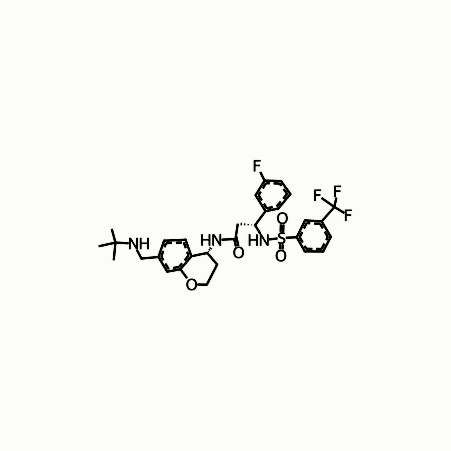 CC(C)(C)NCc1ccc2c(c1)OCC[C@H]2NC(=O)C[C@@H](NS(=O)(=O)c1cccc(C(F)(F)F)c1)c1cccc(F)c1